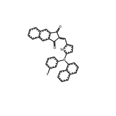 O=C1C(=Cc2ccc(N(c3cccc(F)c3)c3cccc4ccccc34)[se]2)C(=O)c2cc3ccccc3cc21